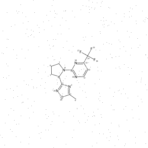 Cc1nc(C2CCCN2c2nccc(C(F)(F)F)n2)no1